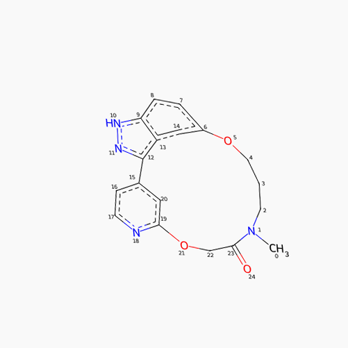 CN1CCCOc2ccc3[nH]nc(c3c2)-c2ccnc(c2)OCC1=O